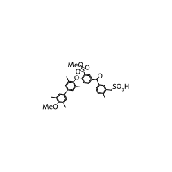 COc1c(C)cc(-c2cc(C)c(Oc3ccc(C(=O)c4ccc(C)c(CS(=O)(=O)O)c4)cc3S(=O)(=O)OC)c(C)c2)cc1C